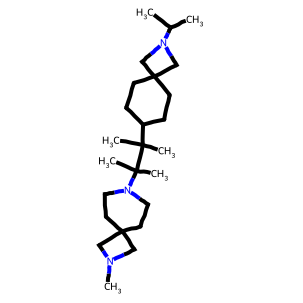 CC(C)N1CC2(CCC(C(C)(C)C(C)(C)N3CCC4(CC3)CN(C)C4)CC2)C1